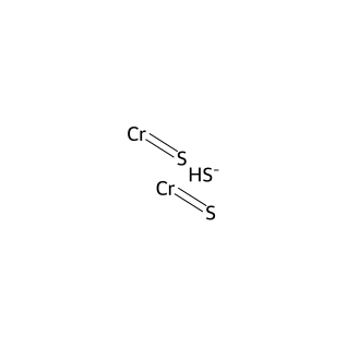 [SH-].[S]=[Cr].[S]=[Cr]